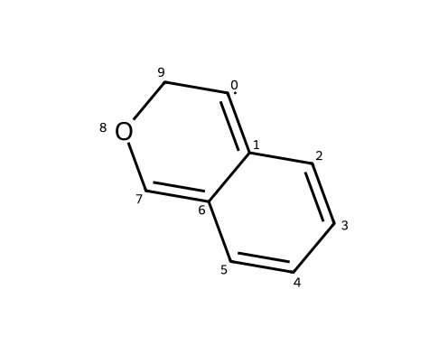 [C]1=c2ccccc2=COC1